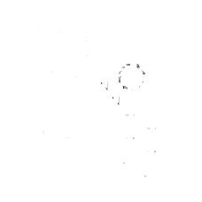 C1=CC(N(c2ccccc2)c2cc3ccc4cccc5ccc(c2)c3c45)(N(c2ccccc2)c2cc3ccc4cccc5ccc(c2)c3c45)C=CC1c1ccccc1